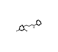 Fc1ccc(CCCNc2cc[c]cc2)c(F)c1